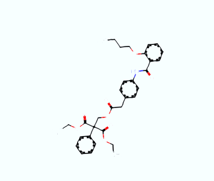 CCCCOc1ccccc1C(=O)Nc1ccc(CC(=O)OCC(C(=O)OCC)(C(=O)OCC)c2ccccc2)cc1